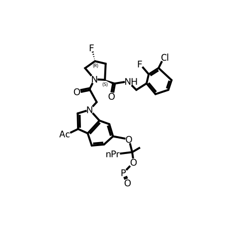 CCCC(C)(OP=O)Oc1ccc2c(C(C)=O)cn(CC(=O)N3C[C@H](F)C[C@H]3C(=O)NCc3cccc(Cl)c3F)c2c1